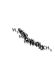 Cc1cccc(-c2nccc(Nc3ccnc(Nc4ccc(NC(=O)N5CCN(C)CC5)cc4)n3)n2)n1